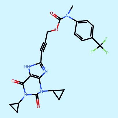 CN(C(=O)OCC#Cc1nc2c([nH]1)c(=O)n(C1CC1)c(=O)n2C1CC1)c1ccc(C(F)(F)F)cc1